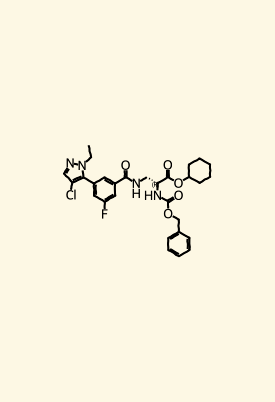 CCn1ncc(Cl)c1-c1cc(F)cc(C(=O)NC[C@@H](NC(=O)OCc2ccccc2)C(=O)OC2CCCCC2)c1